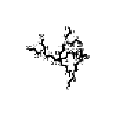 CCCN(CCC)CCCC(CCCN(CCC)CCC)(CCCN(CCC)CCC)CC[SiH2]OC(C)(C)C